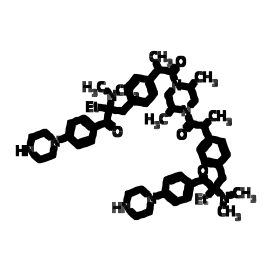 CCC(Cc1ccc(C(C)C(=O)N2CC(C)N(C(=O)C(C)c3ccc(CC(CC)(C(=O)c4ccc(N5CCNCC5)cc4)N(C)C)cc3)CC2C)cc1)(C(=O)c1ccc(N2CCNCC2)cc1)N(C)C